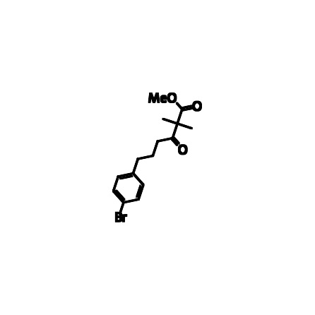 COC(=O)C(C)(C)C(=O)CCCc1ccc(Br)cc1